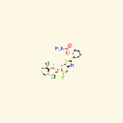 CC(Oc1cc2sc(-c3ccccc3OC(N)=O)nc2cc1F)c1c(Cl)cccc1Cl